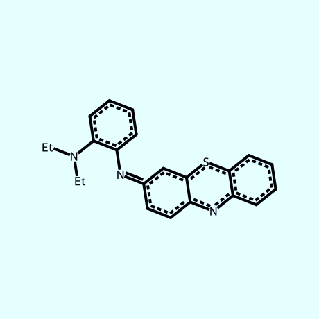 CCN(CC)c1ccccc1N=c1ccc2nc3ccccc3sc-2c1